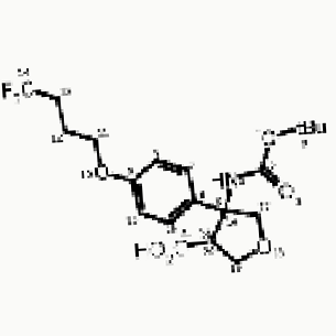 CC(C)(C)OC(=O)N[C@@]1(c2ccc(OCCCC(F)(F)F)cc2)COC[C@H]1C(=O)O